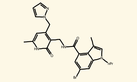 CCCn1cc(C)c2c(C(=O)NCc3c(Cn4cccn4)cc(C)[nH]c3=O)cc(Br)cc21